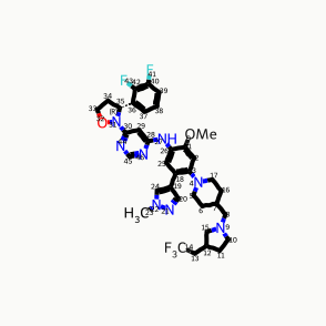 COc1cc(N2CCC(CN3CCC(CC(F)(F)F)C3)CC2)c(-c2cnn(C)c2)cc1Nc1cc(N2OCC[C@@H]2c2cccc(F)c2F)ncn1